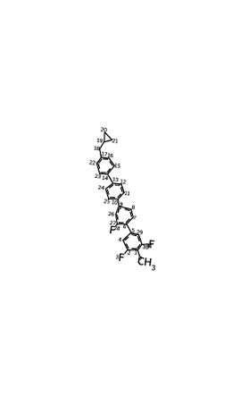 Cc1c(F)cc(-c2ccc(-c3ccc(-c4ccc(CC5CC5)cc4)cc3)cc2F)cc1F